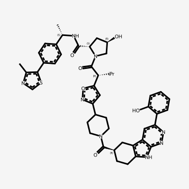 Cc1ncsc1-c1ccc([C@H](C)NC(=O)[C@@H]2C[C@@H](O)CN2C(=O)[C@@H](c2cc(C3CCN(C(=O)[C@@H]4CCc5[nH]c6nnc(-c7ccccc7O)cc6c5C4)CC3)no2)C(C)C)cc1